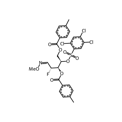 CO/N=C\[C@@H](F)[C@H](OC(=O)c1ccc(C)cc1)[C@@H](COC(=O)c1ccc(C)cc1)OS(=O)(=O)c1cc(Cl)c(Cl)cc1Cl